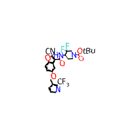 CC(C)(C)OC(=O)N1CCC(NC(=O)c2c(C#N)oc3ccc(OCc4cccnc4C(F)(F)F)cc23)C(F)(F)C1